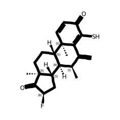 C=C1C2=C(S)C(=O)C=C[C@]2(C)[C@H]2CC[C@]3(C)C(=O)[C@H](F)C[C@H]3[C@@H]2[C@@H]1C